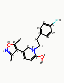 COC1=CC=C(c2c(C)noc2C)CN1CCc1ccc(F)cc1